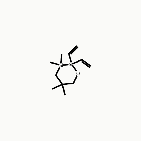 C=C[Si]1(C=C)OCC(C)(C)C[Si]1(C)C